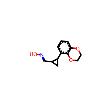 ON=CC1CC1c1cccc2c1OCCO2